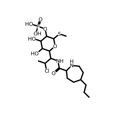 CCCC1CCNC(C(=O)NC(C(C)Cl)C2OC(SC)C(OP(=O)(O)O)C(O)C2O)CC1